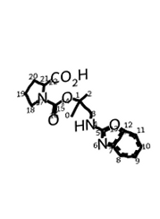 CC(C)(CNc1nc2ccccc2o1)OC(=O)N1CCCC1C(=O)O